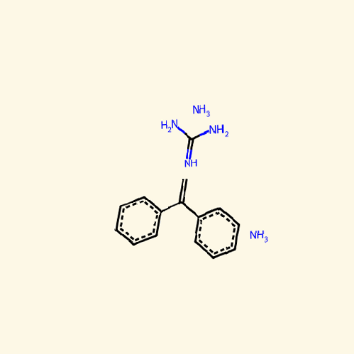 C=C(c1ccccc1)c1ccccc1.N.N.N=C(N)N